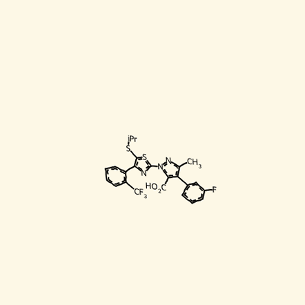 Cc1nn(-c2nc(-c3ccccc3C(F)(F)F)c(SC(C)C)s2)c(C(=O)O)c1-c1cccc(F)c1